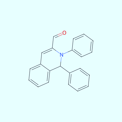 O=CC1=Cc2ccccc2C(c2ccccc2)N1c1ccccc1